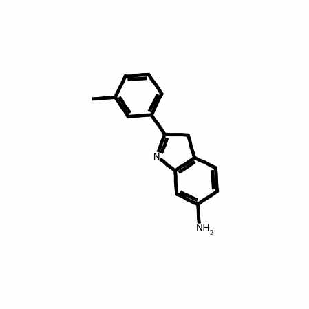 Cc1cccc(C2=Nc3cc(N)ccc3C2)c1